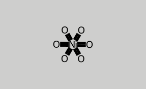 [O]=[Ni](=[O])(=[O])(=[O])(=[O])=[O]